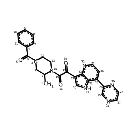 CC1CN(C(=O)c2ccccc2)CCN1C(=O)C(=O)c1c[nH]c2c(-c3cnccn3)ccnc12